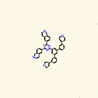 c1cc(-c2ccncc2)cc(-c2cc(-c3cccc(-c4ccncc4)c3)cc(-c3nc(-c4ccc5cnccc5c4)nc(-c4ccc5cnccc5c4)n3)c2)c1